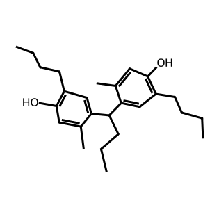 CCCCc1cc(C(CCC)c2cc(CCCC)c(O)cc2C)c(C)cc1O